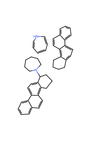 C1=CC=CNC=C1.c1ccc2c(c1)ccc1c3c(ccc12)C(N1CCCCCC1)CCC3.c1ccc2c(c1)ccc1c3c(ccc12)CCCC3